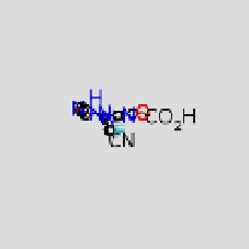 N#Cc1ccc(-c2cc(NCC34CCN(CC3)CC4)nn2-c2ccc(N3CCC(OCC(=O)O)CC3)cc2)cc1F